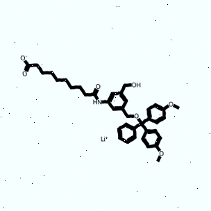 COc1ccc(C(OCc2cc(CO)cc(NC(=O)CCCCCCCCC(=O)[O-])c2)(c2ccccc2)c2ccc(OC)cc2)cc1.[Li+]